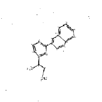 CC(CC=O)c1ccnc(-c2ccc3ccccc3c2)c1